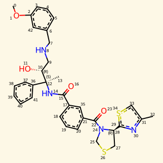 COc1cccc(CNC[C@@H](O)[C@@](C)(NC(=O)c2cccc(C(=O)N3CSC[C@@H]3c3nc(C)cs3)c2)c2ccccc2)c1